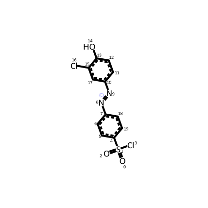 O=S(=O)(Cl)c1ccc(/N=N/c2ccc(O)c(Cl)c2)cc1